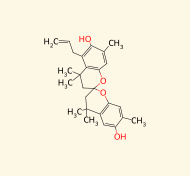 C=CCc1c(O)c(C)cc2c1C(C)(C)CC1(CC(C)(C)c3cc(O)c(C)cc3O1)O2